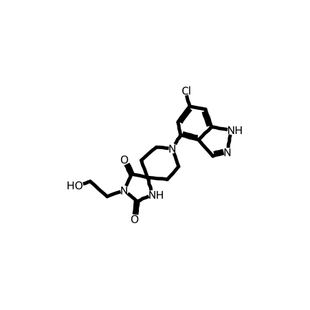 O=C1NC2(CCN(c3cc(Cl)cc4[nH]ncc34)CC2)C(=O)N1CCO